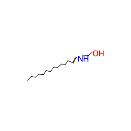 CCCCCCCCCCCCC=CNCCCO